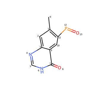 Cc1cc2nc[nH]c(=O)c2cc1P=O